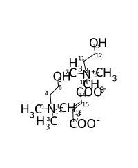 C[N+](C)(C)CCO.C[N+](C)(C)CCO.O=C([O-])C=CC(=O)[O-]